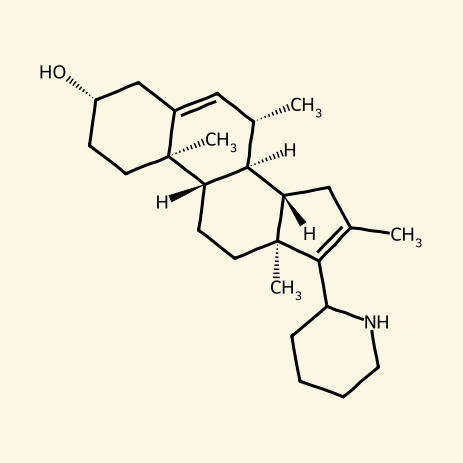 CC1=C(C2CCCCN2)[C@@]2(C)CC[C@H]3[C@@H]([C@@H](C)C=C4C[C@@H](O)CC[C@@]43C)[C@@H]2C1